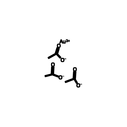 CC(=O)[O-].CC(=O)[O-].CC(=O)[O-].[Au+3]